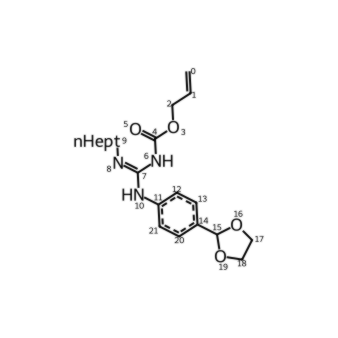 C=CCOC(=O)N/C(=N\CCCCCCC)Nc1ccc(C2OCCO2)cc1